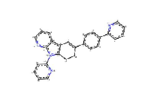 C1=C(c2ccc(-c3ccccn3)cc2)CCc2c1c1cccnc1n2-c1ccccn1